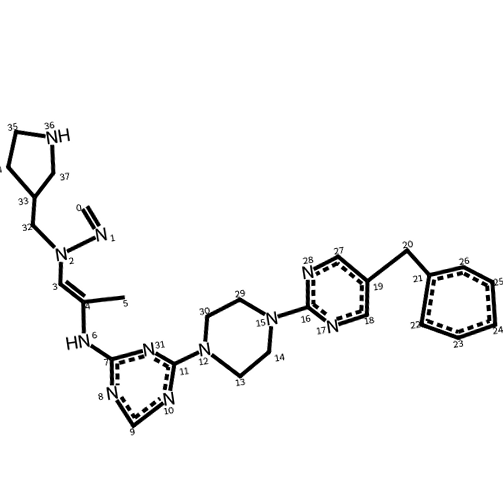 C=NN(/C=C(\C)Nc1ncnc(N2CCN(c3ncc(Cc4ccccc4)cn3)CC2)n1)CC1CCNC1